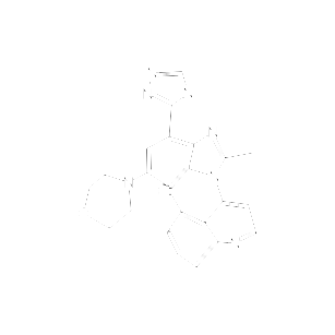 Cc1nc2c(-c3nnc[nH]3)cc(N3CCOCC3)cc2n1-c1ccnc2cccc(Cl)c12